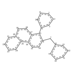 [c]1cccc(-c2c(Cc3ccccc3)ccc3c2ccc2ccccc23)c1